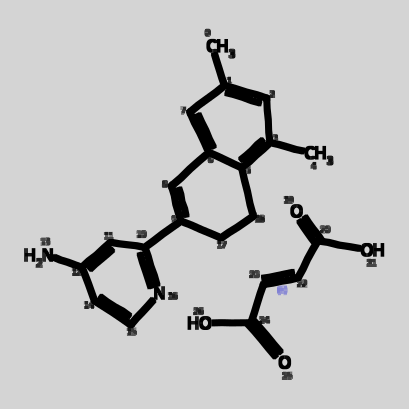 Cc1cc(C)c2c(c1)C=C(c1cc(N)ccn1)CC2.O=C(O)/C=C/C(=O)O